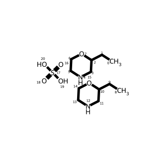 CCC1CNCCO1.CCC1CNCCO1.O=S(=O)(O)O